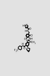 Cn1c(Nc2c(Cl)ccc(CNC(=O)c3cn[nH]c3)c2Cl)nc2cc(C(=O)NC3CCC(C(F)(F)F)CC3)c(N3CC4CC4C3)cc21